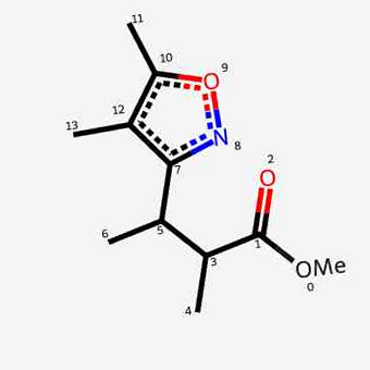 COC(=O)C(C)C(C)c1noc(C)c1C